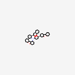 c1ccc(N(c2ccc(-c3ccc4c(c3)oc3ccccc34)cc2)c2cccc3oc4ccccc4c23)c(-c2ccc3ccccc3c2)c1